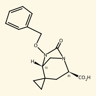 O=C(O)[C@H]1CC2(CC2)[C@H]2CN1C(=O)N2OCc1ccccc1